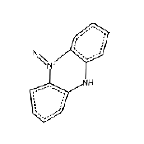 [N-]=[N+]1c2ccccc2Nc2ccccc21